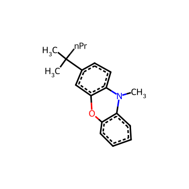 CCCC(C)(C)c1ccc2c(c1)Oc1ccccc1N2C